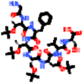 CC(C)[C@H](NC(=O)[C@H](CC(=O)OC(C)(C)C)NC(=O)[C@H](COC(C)(C)C)NC(=O)[C@@H](NC(=O)[C@H](Cc1ccccc1)NC(=O)[C@@H](NC(=O)CN)[C@@H](C)OC(C)(C)C)[C@@H](C)OC(C)(C)C)C(=O)N[C@@H](CO)C(=O)O